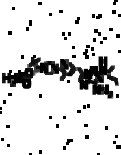 CCCC(C)Nc1nc(N)c2ncc(Cc3cnc(N4CCN([C@H](COC(N)=O)C(C)(C)C)CC4)c(C)c3)n2n1